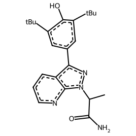 CC(C(N)=O)n1nc(-c2cc(C(C)(C)C)c(O)c(C(C)(C)C)c2)c2cccnc21